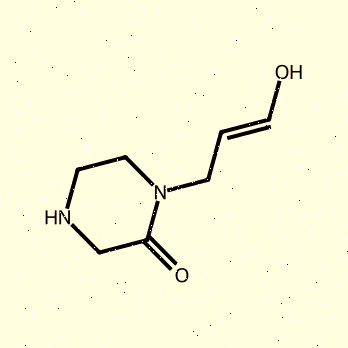 O=C1CNCCN1CC=CO